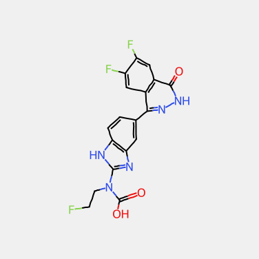 O=C(O)N(CCF)c1nc2cc(-c3n[nH]c(=O)c4cc(F)c(F)cc34)ccc2[nH]1